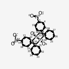 O=[N+]([O-])c1ccc(CP(=O)(Cc2ccc([N+](=O)[O-])cc2)P(=O)(Cc2ccccc2)Cc2ccccc2)cc1